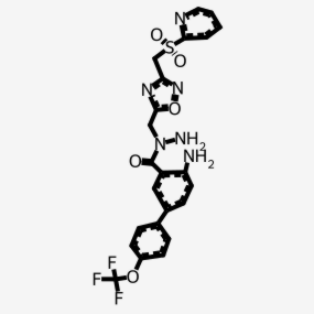 Nc1ccc(-c2ccc(OC(F)(F)F)cc2)cc1C(=O)N(N)Cc1nc(CS(=O)(=O)c2ccccn2)no1